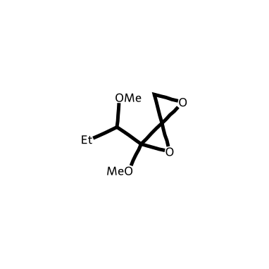 CCC(OC)C1(OC)OC12CO2